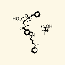 O=C(N[C@@H](CNC(=O)c1ccc2c(cnn2CCCNc2ccccn2)c1)C(=O)O)OCc1ccccc1.O=C(O)C(F)(F)F